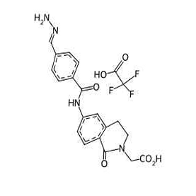 NN=Cc1ccc(C(=O)Nc2ccc3c(c2)CCN(CC(=O)O)C3=O)cc1.O=C(O)C(F)(F)F